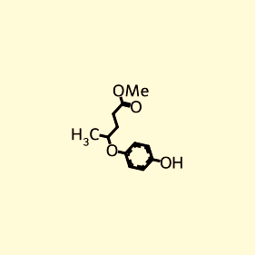 COC(=O)CCC(C)Oc1ccc(O)cc1